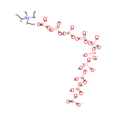 CC[N+](C)(CC)CC.[O-]B([O-])[O-].[O-]B([O-])[O-].[O-]B([O-])[O-].[O-]B([O-])[O-].[O-]B([O-])[O-].[O-]B([O-])[O-].[O-]B([O-])[O-].[O-]B([O-])[O-].[O-]B([O-])[O-].[O-]B([O-])[O-]